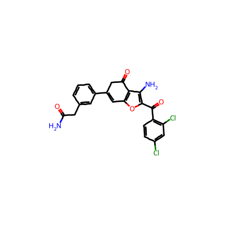 NC(=O)Cc1cccc(C2=Cc3oc(C(=O)c4ccc(Cl)cc4Cl)c(N)c3C(=O)C2)c1